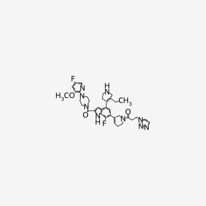 CCC1=C(c2cc(C3=CCCN(C(=O)CCn4ccnn4)C3)c(F)c3[nH]c(C(=O)N4CCN(c5ncc(F)cc5OC)CC4)cc23)CCNC1